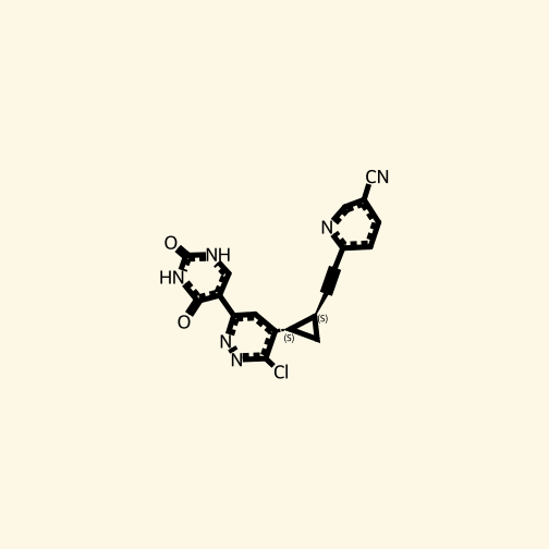 N#Cc1ccc(C#C[C@H]2C[C@@H]2c2cc(-c3c[nH]c(=O)[nH]c3=O)nnc2Cl)nc1